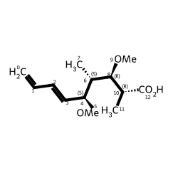 C=CC=C[C@H](OC)[C@H](C)[C@@H](OC)[C@@H](C)C(=O)O